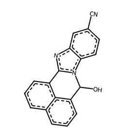 N#Cc1ccc2c(c1)nc1n2C(O)c2cccc3cccc-1c23